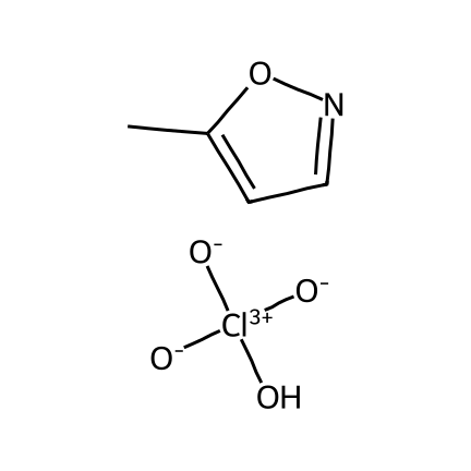 Cc1ccno1.[O-][Cl+3]([O-])([O-])O